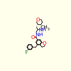 CNC(CNC(=O)c1cc(Cc2cccc(F)c2)c2c(c1)OCC2)C[C@H]1CCCOC1